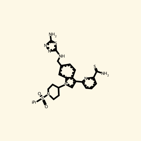 CC(C)S(=O)(=O)N1CCC(n2cc(-c3cccc(C(N)=S)n3)c3ccc(CNc4nnc(N)s4)cc32)CC1